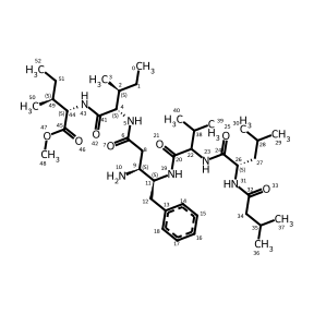 CC[C@H](C)[C@H](NC(=O)C[C@H](N)[C@H](Cc1ccccc1)NC(=O)C(NC(=O)[C@H](CC(C)C)NC(=O)CC(C)C)C(C)C)C(=O)N[C@H](C(=O)OC)[C@@H](C)CC